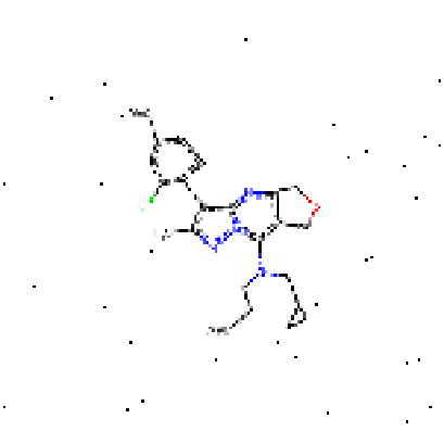 COCCN(CC1CC1)c1c2c(nc3c(-c4ccc(OC)cc4Cl)c(C)nn13)COC2